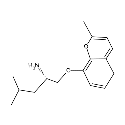 CC1=CC=C2CC=CC(OC[C@@H](N)CC(C)C)=C2O1